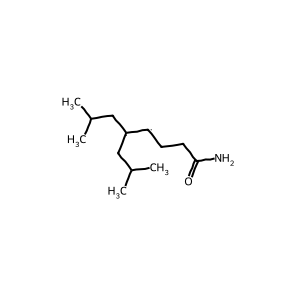 CC(C)C[C]([CH]CCC(N)=O)CC(C)C